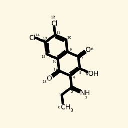 CCC(=N)C1=C(O)C(=O)c2cc(Cl)c(Cl)cc2C1=O